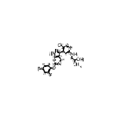 CC(O)CNc1cc(-c2n[nH]c3nc(Oc4ccc(F)cc4F)ncc23)c(Cl)cn1